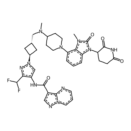 CN(C[C@H]1C[C@H](n2cc(NC(=O)c3cnn4cccnc34)c(C(F)F)n2)C1)C1CCN(c2cccc3c2n(C)c(=O)n3C2CCC(=O)NC2=O)CC1